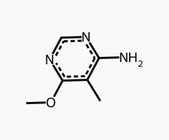 COc1ncnc(N)c1C